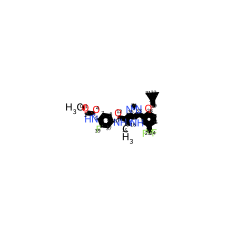 COCC(=O)N[C@H]1CC[C@H](NC(=O)c2c(C)[nH]c3c(-c4cc(C(F)F)ccc4OCC4CC4)ncnc23)C[C@@H]1F